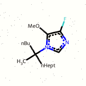 CCCCCCCC(C)(CCCC)n1cnc(F)c1OC